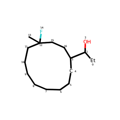 CCC(O)C1CCCCCCCCC(C)(F)CC1